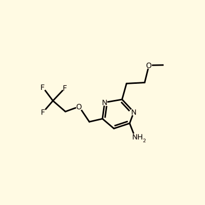 COCCc1nc(N)cc(COCC(F)(F)F)n1